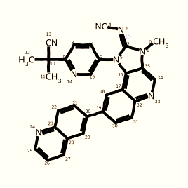 Cn1/c(=N/C#N)n(-c2ccc(C(C)(C)C#N)nc2)c2c3cc(-c4ccc5ncccc5c4)ccc3ncc21